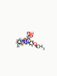 CCOc1ccc2c(c1)SC(CC(=O)O)C(=O)N2Cc1nc2cccc(F)c2s1